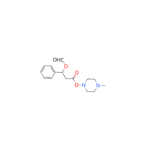 CN1CCN(OC(=O)CC(OC=O)c2ccccc2)CC1